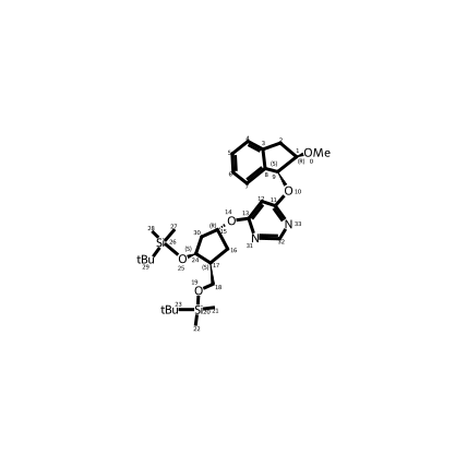 CO[C@@H]1Cc2ccccc2[C@@H]1Oc1cc(O[C@@H]2C[C@@H](CO[Si](C)(C)C(C)(C)C)[C@@H](O[Si](C)(C)C(C)(C)C)C2)ncn1